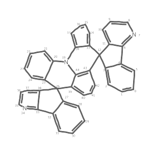 c1ccc2c(c1)-c1ncccc1C21c2ccccc2N2c3ccccc3C3(c4ccccc4-c4ncccc43)c3cccc1c32